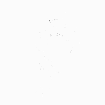 O=C1N[C@@H]2C[C@H](c3c(OC(F)F)cccc31)n1c2nc2ccc(-c3cnc(C4(O)CCC(F)(F)CC4)nc3)cc21